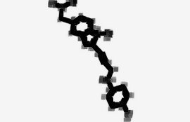 CCN(CC)Cc1ccc2c(c1)cc(C#CCNc1ccc(Cl)cc1)n2CC